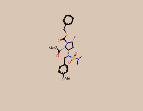 COC(=O)[C@H]1[C@@H](N(Cc2ccc(OC)cc2)S(=O)(=O)N(C)C)C[C@@H](C)N1C(=O)OCc1ccccc1